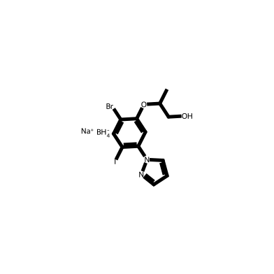 CC(CO)Oc1cc(-n2cccn2)c(I)cc1Br.[BH4-].[Na+]